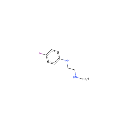 O=C(O)NCCNc1ccc(I)cc1